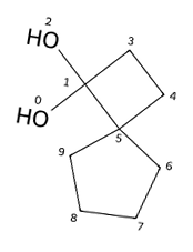 OC1(O)CCC12CCCC2